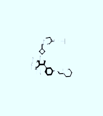 Nc1ncnc2c1c(-c1cccc(OCC3CCCCO3)c1)cn2C1CC(CN2CC[C@H](O)C2)C1